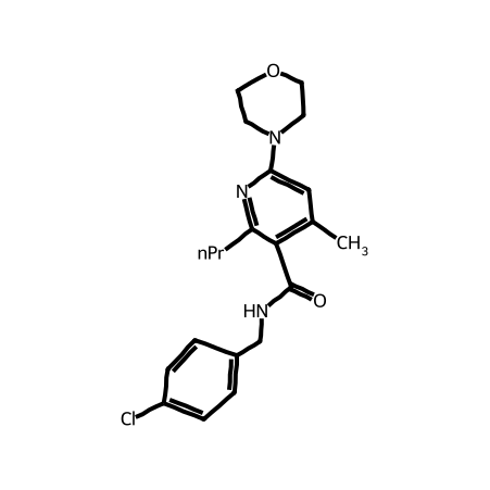 CCCc1nc(N2CCOCC2)cc(C)c1C(=O)NCc1ccc(Cl)cc1